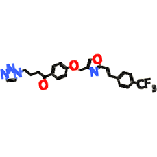 O=C(CCCn1ccnn1)c1ccc(OCc2coc(C=Cc3ccc(C(F)(F)F)cc3)n2)cc1